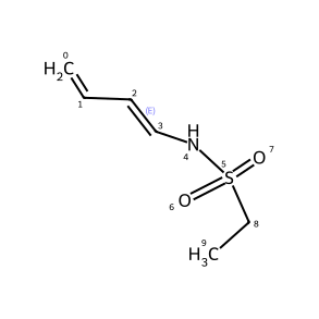 C=C/C=C/NS(=O)(=O)CC